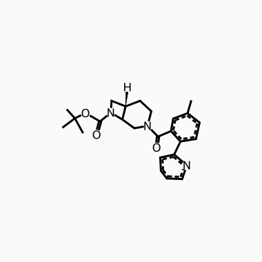 Cc1ccc(-c2ccccn2)c(C(=O)N2CC[C@H]3CN(C(=O)OC(C)(C)C)C3C2)c1